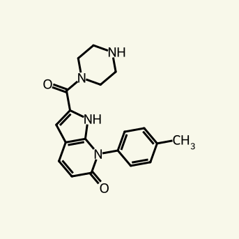 Cc1ccc(-n2c(=O)ccc3cc(C(=O)N4CCNCC4)[nH]c32)cc1